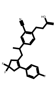 C=C(O)CCc1ccc(C(C)CC2=C(c3ccc(F)cc3)CC(F)(F)C2)cc1C#N